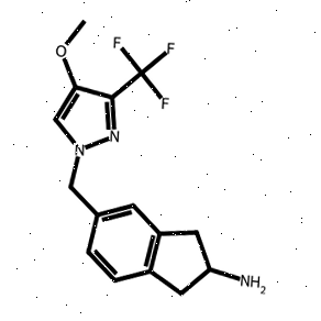 COc1cn(Cc2ccc3c(c2)CC(N)C3)nc1C(F)(F)F